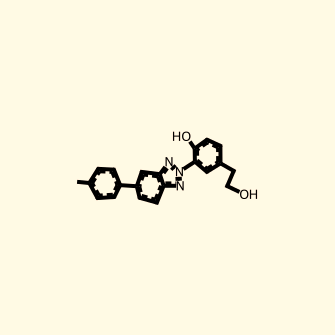 Cc1ccc(-c2ccc3nn(-c4cc(CCO)ccc4O)nc3c2)cc1